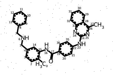 Cc1ccc(CNCc2ccccc2)cc1NC(=O)c1ccc(Nc2nc(C)c3ccccc3n2)cc1